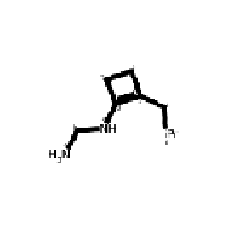 CC(C)CC1=C(NCN)CC1